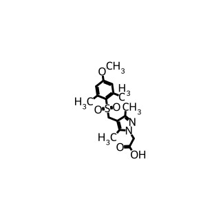 COc1cc(C)c(S(=O)(=O)Cc2c(C)nn(CC(=O)O)c2C)c(C)c1